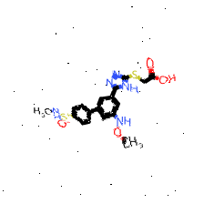 CN[S+]([O-])c1ccc(-c2cc(NOC)cc(-c3nnc(SCC(=O)O)[nH]3)c2)cc1